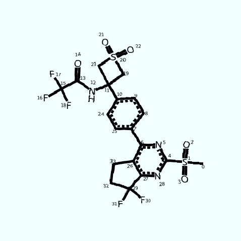 CS(=O)(=O)c1nc(-c2ccc(C3(NC(=O)C(F)(F)F)CS(=O)(=O)C3)cc2)c2c(n1)C(F)(F)CC2